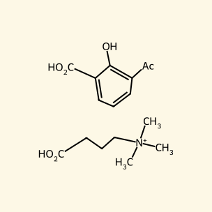 CC(=O)c1cccc(C(=O)O)c1O.C[N+](C)(C)CCCC(=O)O